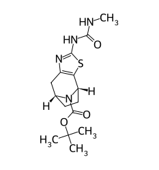 CNC(=O)Nc1nc2c(s1)[C@@H]1CC[C@H](C2)N1C(=O)OC(C)(C)C